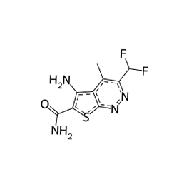 Cc1c(C(F)F)nnc2sc(C(N)=O)c(N)c12